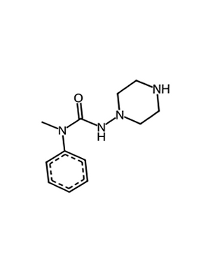 CN(C(=O)NN1CCNCC1)c1ccccc1